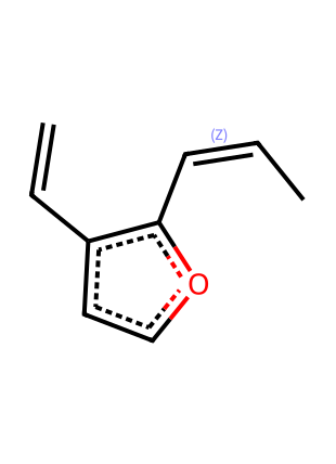 C=Cc1ccoc1/C=C\C